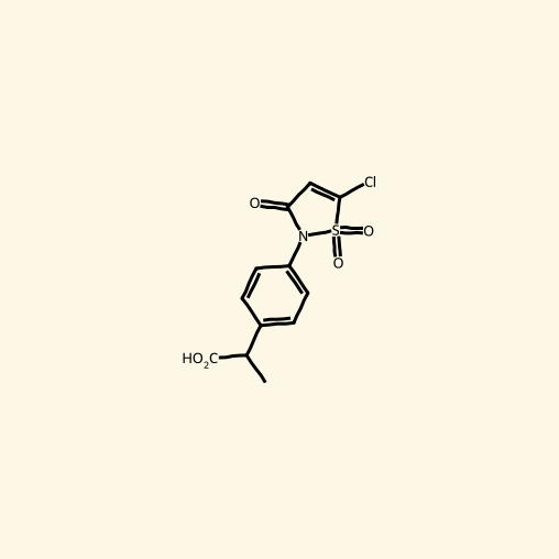 CC(C(=O)O)c1ccc(N2C(=O)C=C(Cl)S2(=O)=O)cc1